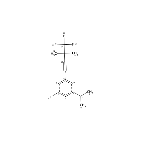 CC(C)c1cc(F)cc(C#CC(C)(C)C(F)(F)F)c1